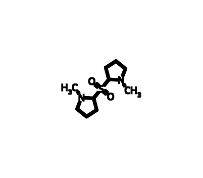 CN1CCCC1S(=O)(=O)C1CCCN1C